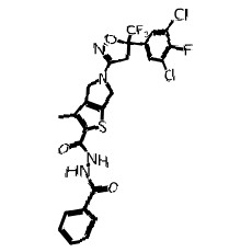 Cc1c(C(=O)NNC(=O)c2ccccc2)sc2c1CN(C1=NOC(c3cc(Cl)c(F)c(Cl)c3)(C(F)(F)F)C1)C2